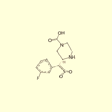 O=C(O)N1CCN[C@H](C(c2cccc(F)c2)=S(=O)=O)C1